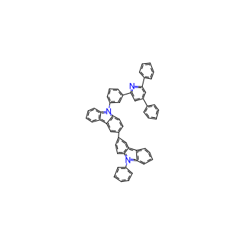 c1ccc(-c2cc(-c3ccccc3)nc(-c3cccc(-n4c5ccccc5c5cc(-c6ccc7c(c6)c6ccccc6n7-c6ccccc6)ccc54)c3)c2)cc1